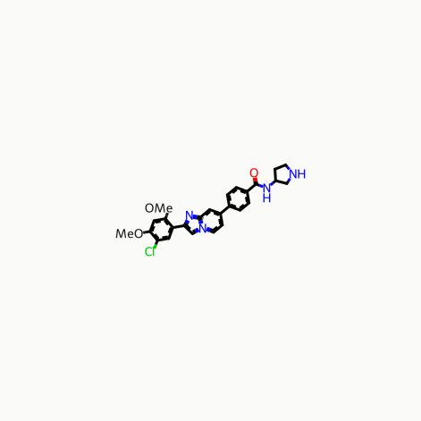 COc1cc(OC)c(-c2cn3ccc(-c4ccc(C(=O)NC5CCNC5)cc4)cc3n2)cc1Cl